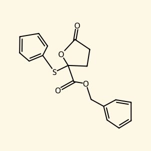 O=C1CCC(Sc2ccccc2)(C(=O)OCc2ccccc2)O1